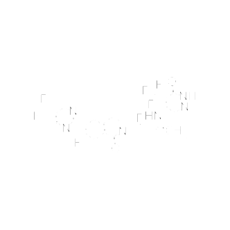 C[C@@H](C[C@H](F)Cn1ccc2cc(-c3ncc(C(F)F)cn3)c(F)cc2c1=O)Nc1cn[nH]c(=O)c1C(F)(F)F